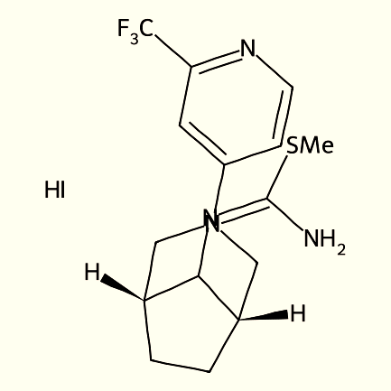 CSC(N)=NC1[C@@H]2CC[C@H]1CN(c1ccnc(C(F)(F)F)c1)C2.I